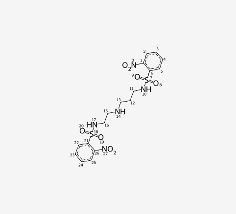 O=[N+]([O-])c1ccccc1S(=O)(=O)NCCCNCCNS(=O)(=O)c1ccccc1[N+](=O)[O-]